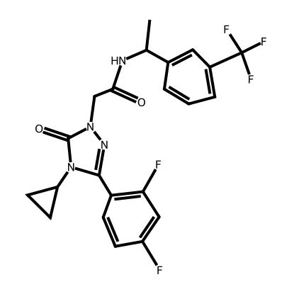 CC(NC(=O)Cn1nc(-c2ccc(F)cc2F)n(C2CC2)c1=O)c1cccc(C(F)(F)F)c1